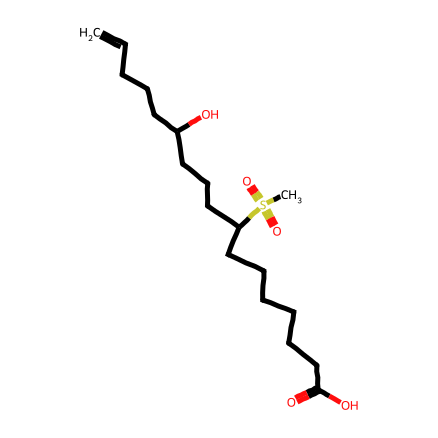 C=CCCCC(O)CCCC(CCCCCCC(=O)O)S(C)(=O)=O